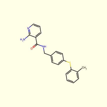 Cc1ccccc1Sc1ccc(CNC(=O)c2cccnc2N)cc1